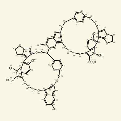 Cn1c(C(=O)O)c2c3ccc(Cl)c(c31)-c1c(nn3c1CCC3)CSCc1ccc(nc1)CSc1cc(c3cc(C4SCc5nn6c(c5-c5c(Cl)ccc7c(c(C(=O)O)n(C)c57)CCCOc5cc(cc7cc(F)ccc57)SCc5ccc4nc5)CCC6)c(F)cc3c1)OCCC2